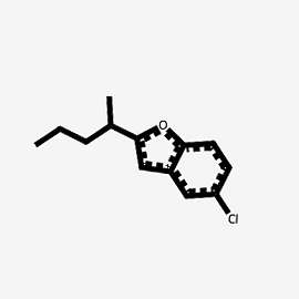 CCCC(C)c1cc2cc(Cl)ccc2o1